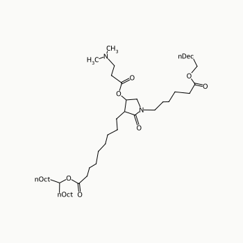 CCCCCCCCCCCOC(=O)CCCCCN1CC(OC(=O)CCN(C)C)C(CCCCCCCCC(=O)OC(CCCCCCCC)CCCCCCCC)C1=O